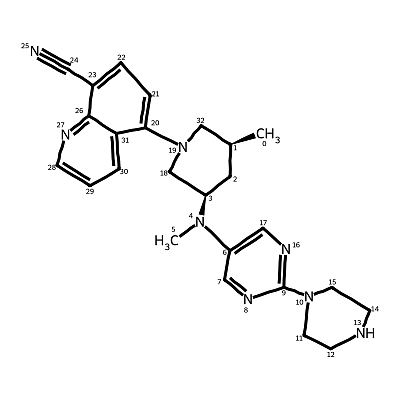 C[C@H]1C[C@@H](N(C)c2cnc(N3CCNCC3)nc2)CN(c2ccc(C#N)c3ncccc23)C1